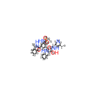 CCc1cncc(CNC[C@@H](O)[C@H](Cc2ccccc2)NC(=O)c2cc(NS(=O)(=O)CC)cc(C(=O)N[C@H](C)c3ccccc3)c2)c1